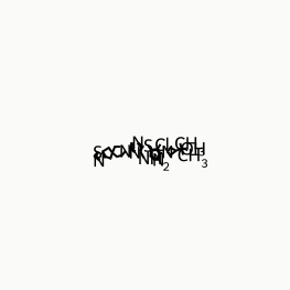 CC(C)(O)C1CN(c2nccc(Sc3ncc(N4CCC5(CC4)Cc4ncsc4C5)nc3N)c2Cl)C1